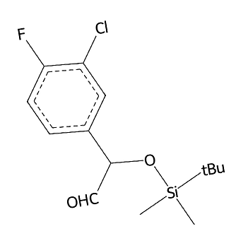 CC(C)(C)[Si](C)(C)OC(C=O)c1ccc(F)c(Cl)c1